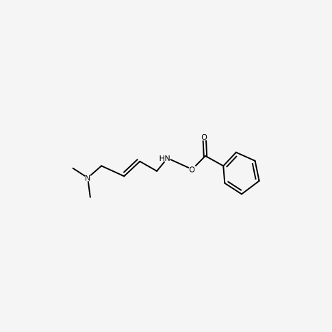 CN(C)CC=CCNOC(=O)c1ccccc1